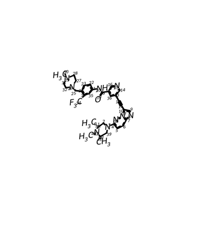 C[C@@H]1CN(c2ccc3ncc(C#Cc4cncc(C(=O)Nc5ccc(CN6CCN(C)CC6)c(C(F)(F)F)c5)c4)n3n2)C[C@H](C)N1C